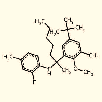 CCCCCC(C)(Pc1ccc(C)cc1F)c1cc(C(C)(C)C)cc(C)c1OC